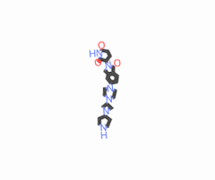 O=C1CC[C@H](N2Cc3cc(N4CCN(C5CN(C6CCNCC6)C5)CC4)ccc3C2=O)C(=O)N1